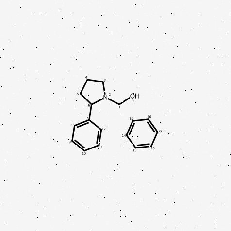 OCN1CCCC1c1ccccc1.c1ccccc1